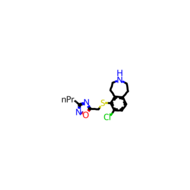 CCCc1noc(CSc2c(Cl)ccc3c2CCNCC3)n1